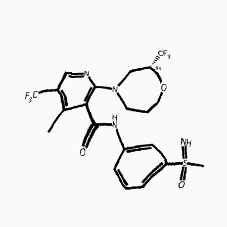 Cc1c(C(F)(F)F)cnc(N2CCO[C@@H](C(F)(F)F)C2)c1C(=O)Nc1cccc(S(C)(=N)=O)c1